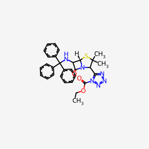 CCOC(=O)n1nnnc1C1N2C(=O)C(NC(c3ccccc3)(c3ccccc3)c3ccccc3)[C@@H]2SC1(C)C